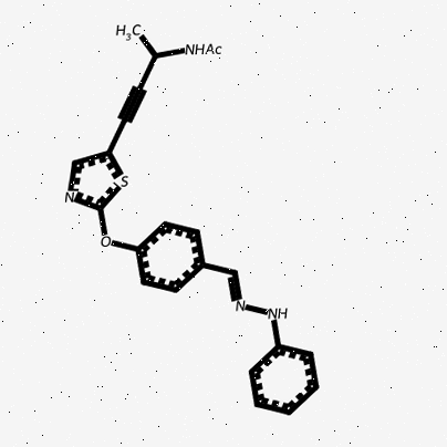 CC(=O)NC(C)C#Cc1cnc(Oc2ccc(C=NNc3ccccc3)cc2)s1